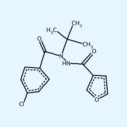 CC(C)(C)N(NC(=O)c1ccoc1)C(=O)c1ccc(Cl)cc1